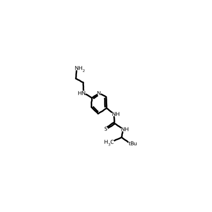 CC(NC(=S)Nc1ccc(NCCN)nc1)C(C)(C)C